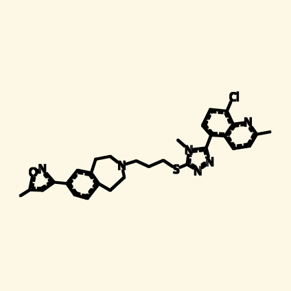 Cc1ccc2c(-c3nnc(SCCCN4CCc5ccc(-c6cc(C)on6)cc5CC4)n3C)ccc(Cl)c2n1